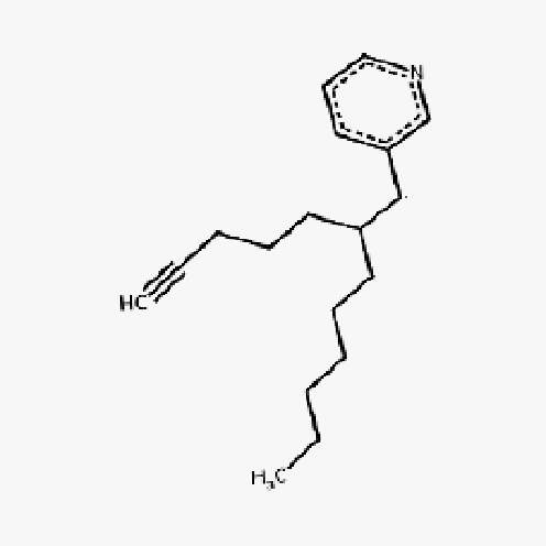 C#CCCCC([CH]c1cccnc1)CCCCCC